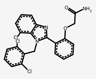 NC(=O)COc1ccccc1-c1nc2cccc(Cl)c2n1Cc1c(Cl)cccc1Cl